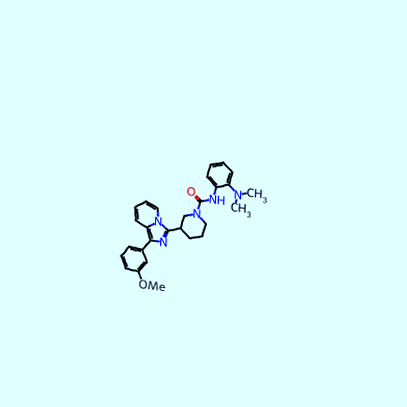 COc1cccc(-c2nc(C3CCCN(C(=O)Nc4ccccc4N(C)C)C3)n3ccccc23)c1